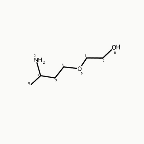 [CH2]C(N)CCOCCO